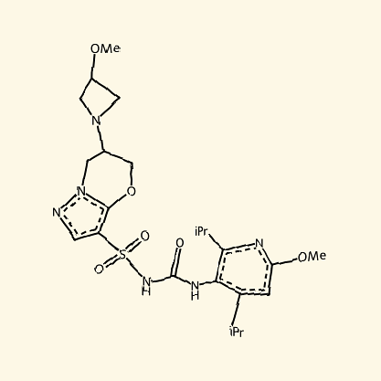 COc1cc(C(C)C)c(NC(=O)NS(=O)(=O)c2cnn3c2OCC(N2CC(OC)C2)C3)c(C(C)C)n1